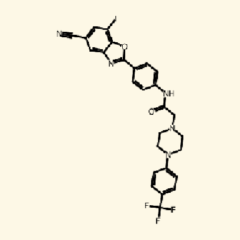 N#Cc1cc(I)c2oc(-c3ccc(NC(=O)CN4CCN(c5ccc(C(F)(F)F)cc5)CC4)cc3)nc2c1